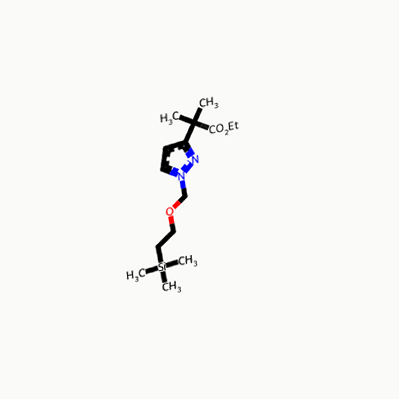 CCOC(=O)C(C)(C)c1ccn(COCC[Si](C)(C)C)n1